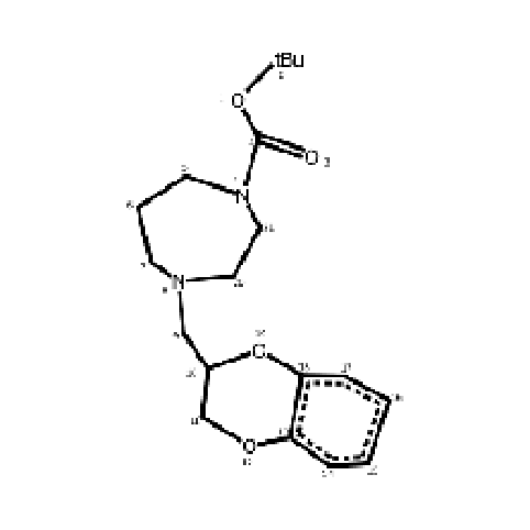 CC(C)(C)OC(=O)N1CCCN(CC2COc3ccccc3O2)CC1